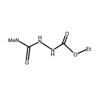 CCOC(=O)NNC(=O)NC